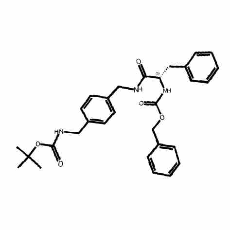 CC(C)(C)OC(=O)NCc1ccc(CNC(=O)[C@H](Cc2ccccc2)NC(=O)OCc2ccccc2)cc1